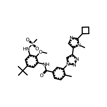 COc1c(NC(=O)c2ccc(C)c(-n3cc(-c4cnc(C5CCC5)n4C)nn3)c2)cc(C(C)(C)C)cc1NS(C)(=O)=O